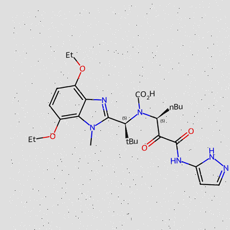 CCCC[C@@H](C(=O)C(=O)Nc1ccn[nH]1)N(C(=O)O)[C@H](c1nc2c(OCC)ccc(OCC)c2n1C)C(C)(C)C